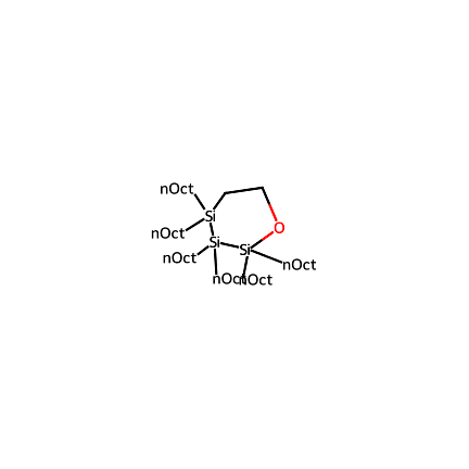 CCCCCCCC[Si]1(CCCCCCCC)CCO[Si](CCCCCCCC)(CCCCCCCC)[Si]1(CCCCCCCC)CCCCCCCC